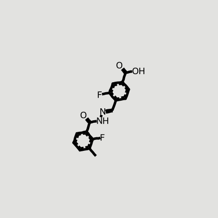 Cc1cccc(C(=O)NN=Cc2ccc(C(=O)O)cc2F)c1F